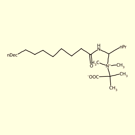 CCCCCCCCCCCCCCCCCC(=O)NC(CCC)[N+](C)(C)C(C)(C)C(=O)[O-]